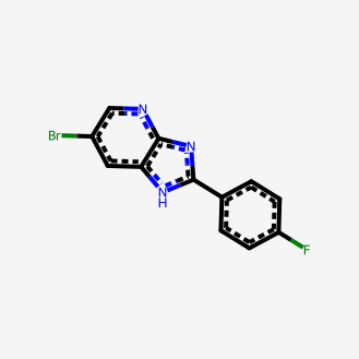 Fc1ccc(-c2nc3ncc(Br)cc3[nH]2)cc1